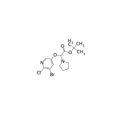 CC(C)(C)OC(=O)C(Oc1cnc(Cl)c(Br)c1)N1CCCC1